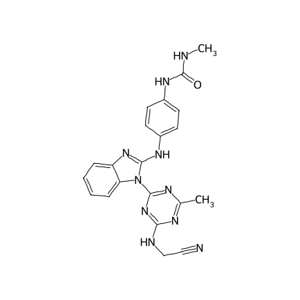 CNC(=O)Nc1ccc(Nc2nc3ccccc3n2-c2nc(C)nc(NCC#N)n2)cc1